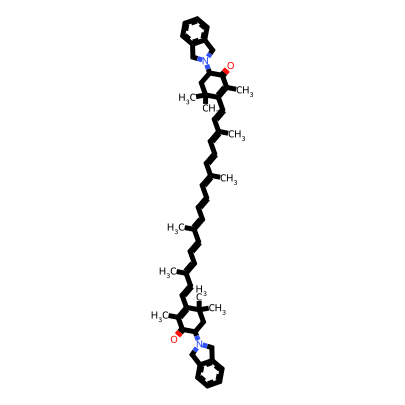 CC1=C(/C=C/C(C)=C/C=C/C(C)=C/C=C/C=C(C)/C=C/C=C(C)/C=C/C2=C(C)C(=O)C(N3Cc4ccccc4C3)CC2(C)C)C(C)(C)CC(N2Cc3ccccc3C2)C1=O